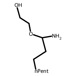 CCCCCCCC(N)OCCO